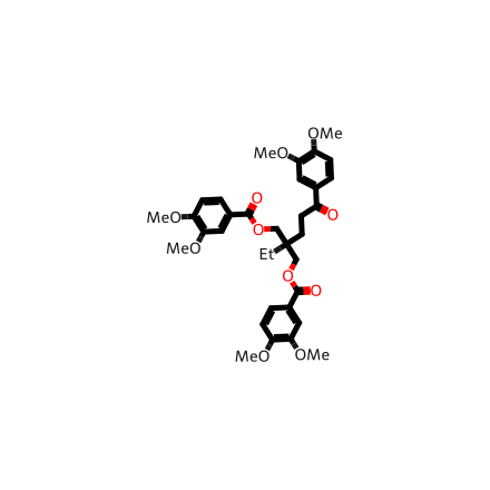 CCC(CCC(=O)c1ccc(OC)c(OC)c1)(COC(=O)c1ccc(OC)c(OC)c1)COC(=O)c1ccc(OC)c(OC)c1